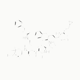 CC(C)C[C@@H](/C=C/[C@H](Cc1ccccc1)C(=O)N1CCC[C@H]1C(=O)N[C@@H](C(=O)N[C@@H](CCCNC(=O)OCc1ccccc1)C(=O)NC1CC(C)(C)N(O)C(C)(C)C1)C(C)C)NC(=O)OCC1CC1